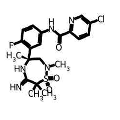 CN1C[C@@](C)(c2cc(NC(=O)c3ccc(Cl)cn3)ccc2F)NC(=N)C(C)(C)S1(=O)=O